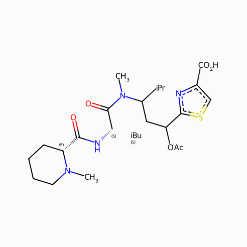 CC[C@H](C)[C@H](NC(=O)[C@H]1CCCCN1C)C(=O)N(C)C(CC(OC(C)=O)c1nc(C(=O)O)cs1)C(C)C